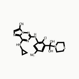 N#Cc1cc(Nc2nc(NC3CC3)c3ncc(C#N)n3n2)c(Cl)c(C(O)(O)N2CCSCC2)c1